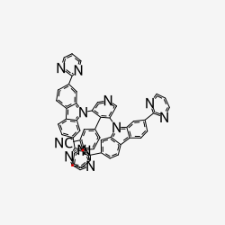 N#Cc1cccc(-c2c(-n3c4cc(-c5ncccn5)ccc4c4ccc(-c5ncccn5)cc43)cncc2-n2c3cc(-c4ncccn4)ccc3c3ccc(-c4ncccn4)cc32)c1